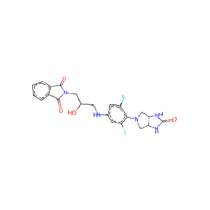 O=C1NC2CN(c3c(F)cc(NCC(O)CN4C(=O)c5ccccc5C4=O)cc3F)CC2N1